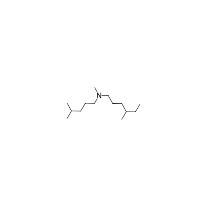 CCC(C)CCCN(C)CCCC(C)C